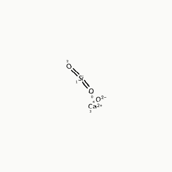 O=[Si]=O.[Ca+2].[O-2]